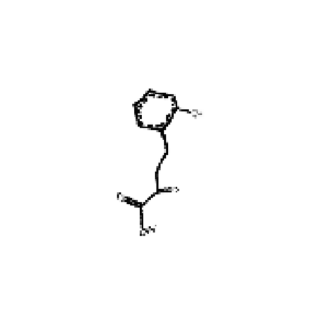 O=C(O)C(=O)CCc1ccccc1O